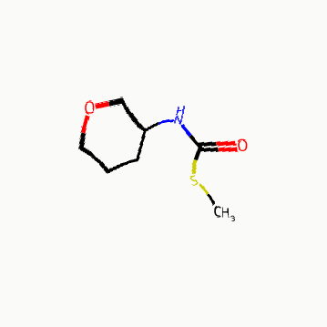 CSC(=O)NC1CCCOC1